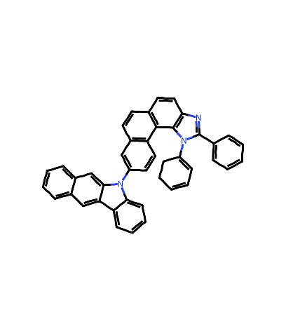 C1=CCCC(n2c(-c3ccccc3)nc3ccc4ccc5cc(-n6c7ccccc7c7cc8ccccc8cc76)ccc5c4c32)=C1